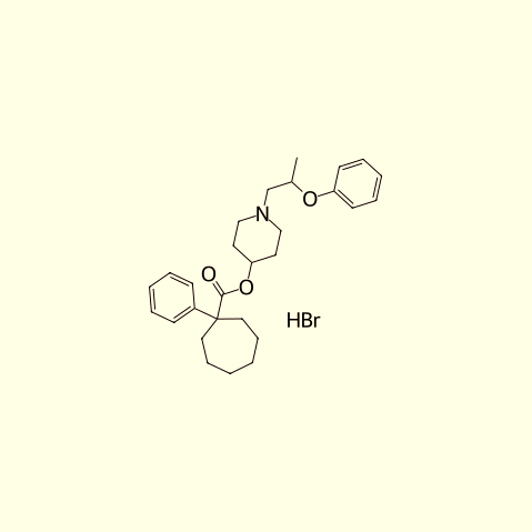 Br.CC(CN1CCC(OC(=O)C2(c3ccccc3)CCCCCC2)CC1)Oc1ccccc1